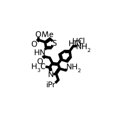 COC(=O)c1cscc1NC(=O)Cc1c(C)nc(CC(C)C)c(CN)c1-c1ccc(CN)cc1.Cl.Cl